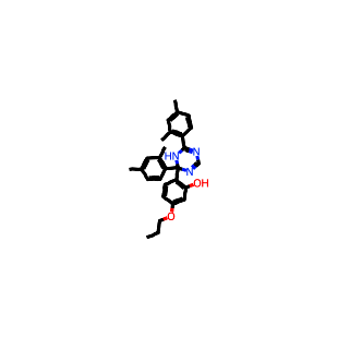 CCCOc1ccc(C2(c3ccc(C)cc3C)N=CN=C(c3ccc(C)cc3C)N2)c(O)c1